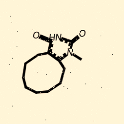 Cn1c2c(c(=O)[nH]c1=O)CCCCCCCC2